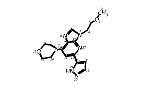 COCCn1cnc2c(N3CCOCC3)cc(-c3ccn[nH]3)nc21